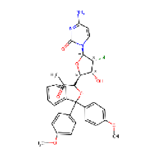 COc1ccc(C(OC(C(C)=O)[C@H]2O[C@@H](n3ccc(N)nc3=O)[C@H](F)[C@@H]2O)(c2ccccc2)c2ccc(OC)cc2)cc1